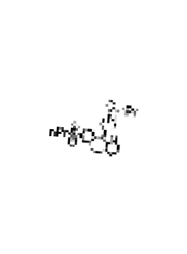 CCCC(=O)N1CCC(=C2c3ccc(S(=O)(=O)CCC)cc3CCc3cccnc32)CC1